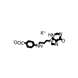 O=C([O-])c1ccc(NCCCn2cnc3c(=O)nc[nH]c32)cc1.[K+]